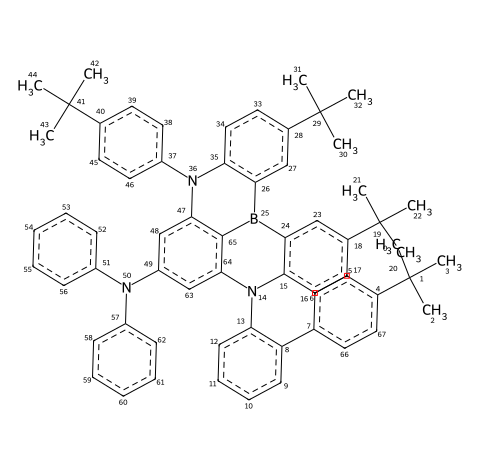 CC(C)(C)c1ccc(-c2ccccc2N2c3ccc(C(C)(C)C)cc3B3c4cc(C(C)(C)C)ccc4N(c4ccc(C(C)(C)C)cc4)c4cc(N(c5ccccc5)c5ccccc5)cc2c43)cc1